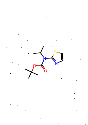 CC(C)N(C(=O)OC(C)(C)C)c1nccs1